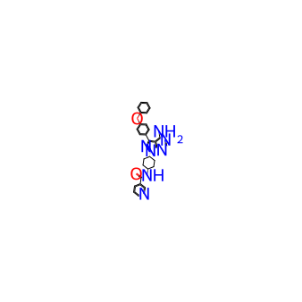 Nc1ncnc2c1c(-c1ccc(Oc3ccccc3)cc1)nn2[C@H]1CC[C@H](NC(=O)c2cccnc2)CC1